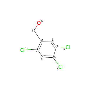 [O]Cc1cc(Cl)c(Cl)cc1Cl